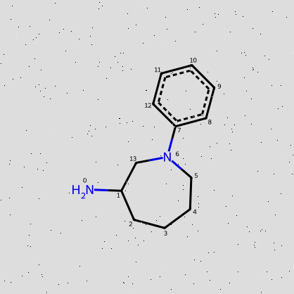 NC1CCCCN(c2ccccc2)C1